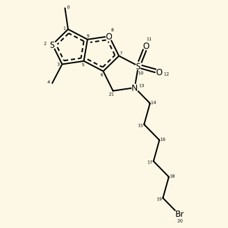 Cc1sc(C)c2c3c(oc12)S(=O)(=O)N(CCCCCCBr)C3